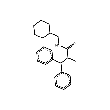 CN(C(=O)NCC1CCCCC1)C(c1ccccc1)c1ccccc1